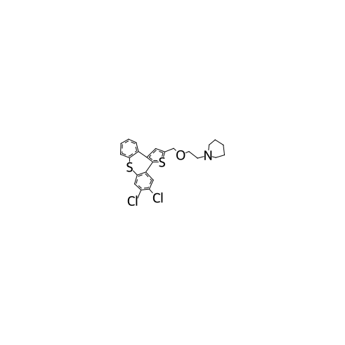 Clc1cc2c(cc1Cl)-c1sc(COCCN3CCCCC3)cc1-c1ccccc1S2